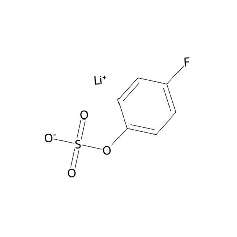 O=S(=O)([O-])Oc1ccc(F)cc1.[Li+]